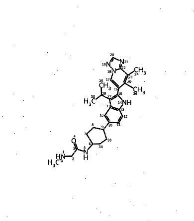 CNCC(=O)NC1CCC(c2ccc3[nH]c(-c4cn5ncnc5c(C)c4C)c(C(C)C)c3c2)CC1